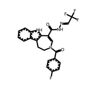 O=C(NN=CC(F)(F)F)C1=CN(C(=O)c2ccc(F)cc2)CCc2c1[nH]c1ccccc21